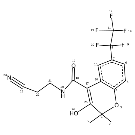 CC1(C)Oc2ccc(C(F)(F)C(F)(F)F)cc2C(C(=O)NCCC#N)=C1O